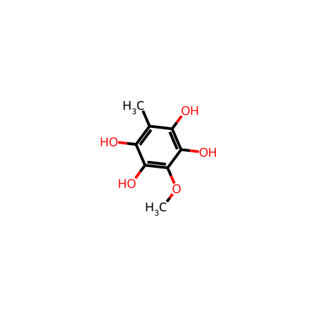 COc1c(O)c(O)c(C)c(O)c1O